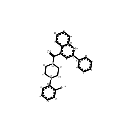 O=C(c1cc(-c2ccccc2)nc2ccccc12)N1CCN(c2ccccc2F)CC1